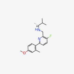 COc1ccc(-c2ccc(F)c(CN[C@H](C)C(C)C)n2)c(C)c1